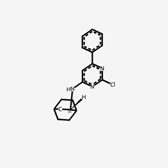 Clc1nc(N[C@H]2CC3CCC2CC3)cc(-c2ccccc2)n1